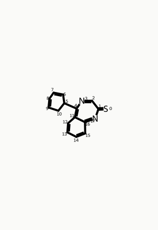 S=c1cnc(C2C=CC=CC2)c2ccccc2n1